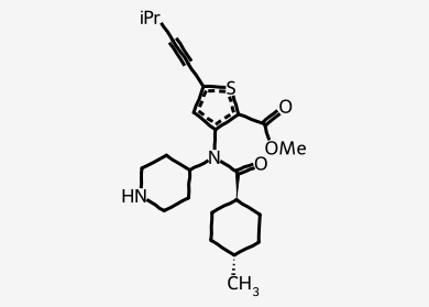 COC(=O)c1sc(C#CC(C)C)cc1N(C(=O)[C@H]1CC[C@H](C)CC1)C1CCNCC1